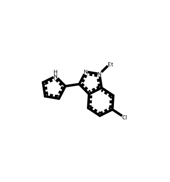 CCn1nc(-c2ccc[nH]2)c2ccc(Cl)cc21